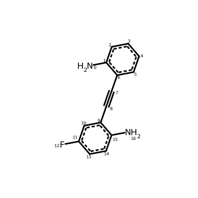 Nc1ccccc1C#Cc1cc(F)ccc1N